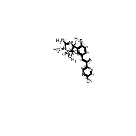 CN1C(N)=N[C@](C)(c2cc(/C=C(\F)c3cnc(C#N)cn3)ccc2F)C(C)(C)S1(=O)=O